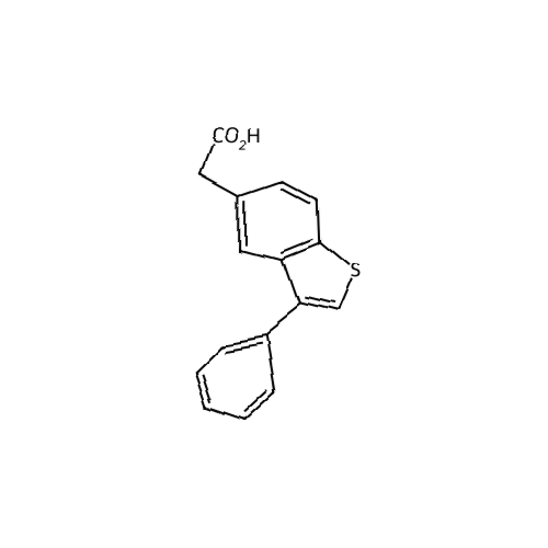 O=C(O)Cc1ccc2scc(-c3ccccc3)c2c1